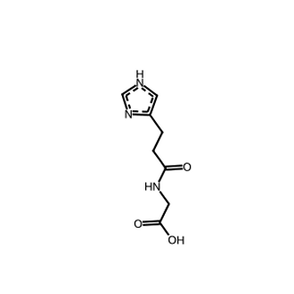 O=C(O)CNC(=O)CCc1c[nH]cn1